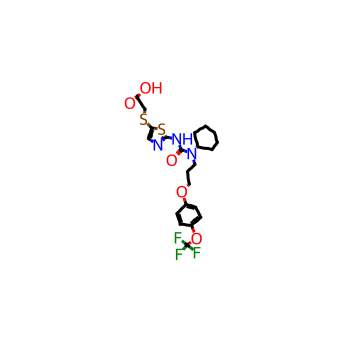 O=C(O)CSc1cnc(NC(=O)N(CCCOc2ccc(OC(F)(F)F)cc2)C2CCCCC2)s1